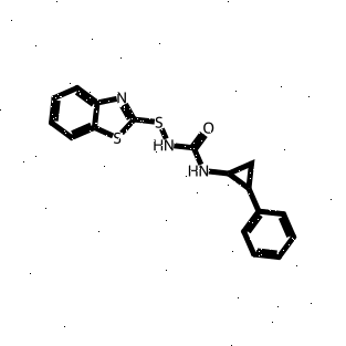 O=C(NSc1nc2ccccc2s1)NC1CC1c1ccccc1